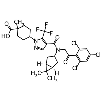 CC1(C(=O)O)CCC(n2ncc(C(=O)N(CC(=O)c3c(Cl)cc(Cl)cc3Cl)C3C[C@@H]4[C@H](C3)C4(C)C)c2C(F)(F)F)CC1